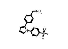 CS(=O)(=O)c1ccc(-n2cccc2-c2ccc(CN)cc2)cc1